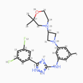 Cc1cc(Nc2n[nH]c(-c3cc(F)cc(F)c3)n2)cc(N2CC(N3CCOC(C)(C)C3)C2)c1